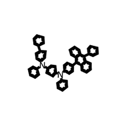 c1ccc(-c2ccc(N(c3ccccc3)c3ccc(N(c4ccccc4)c4ccc(-c5c6ccccc6c(-c6ccccc6)c6ccccc56)cc4)cc3)cc2)cc1